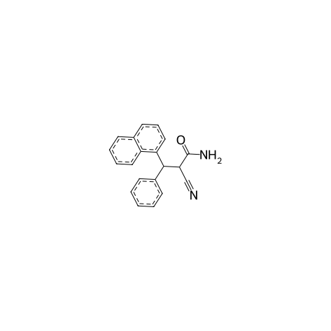 N#CC(C(N)=O)C(c1ccccc1)c1cccc2ccccc12